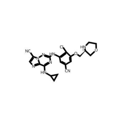 N#Cc1cc(Nc2nc(NC3CC3)c3ncc(C#N)n3n2)c(Cl)c(OC[C@@H]2COCCN2)c1